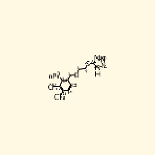 CCCc1c(COCCSc2nnn[nH]2)ccc(Cl)c1Cl